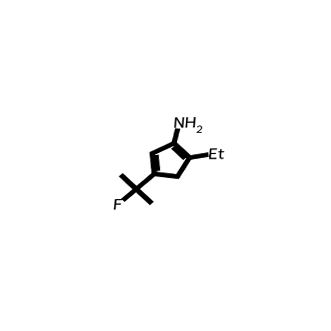 CCC1=C(N)C=C(C(C)(C)F)C1